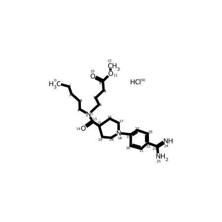 CCCCCN(CCCC(=O)OC)C(=O)C1CCN(c2ccc(C(=N)N)cc2)CC1.Cl